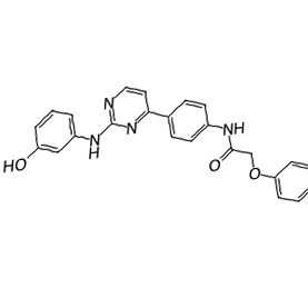 O=C(COc1ccccc1)Nc1ccc(-c2ccnc(Nc3cccc(O)c3)n2)cc1